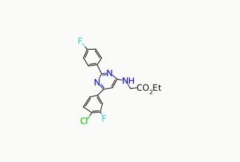 CCOC(=O)CNc1cc(-c2ccc(Cl)c(F)c2)nc(-c2ccc(F)cc2)n1